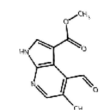 COC(=O)c1c[nH]c2ncc(C)c(C=O)c12